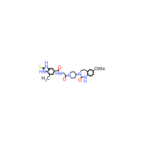 COc1ccc2c(c1)CCN(C1CCN(C(=O)CNC(=O)c3cc(C)c4[nH]c(=S)[nH]c4c3)CC1)C(=O)N2